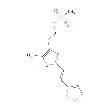 Cc1oc(C=Cc2cccs2)nc1CCOS(C)(=O)=O